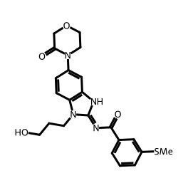 CSc1cccc(C(=O)/N=c2\[nH]c3cc(N4CCOCC4=O)ccc3n2CCCO)c1